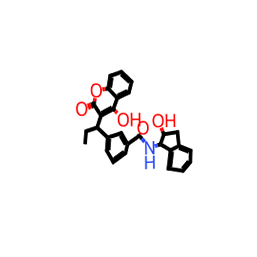 CCC(c1cccc(C(=O)NC2c3ccccc3CC2O)c1)c1c(O)c2ccccc2oc1=O